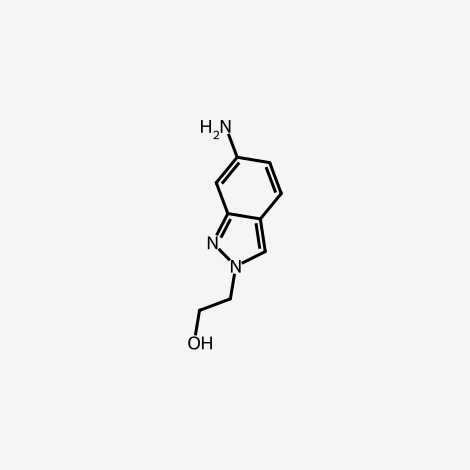 Nc1ccc2cn(CCO)nc2c1